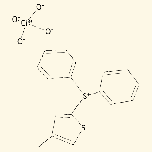 Cc1csc([S+](c2ccccc2)c2ccccc2)c1.[O-][Cl+3]([O-])([O-])[O-]